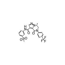 C[C@H]1CN(c2ccc(C(F)(F)F)cc2)C(=O)c2c(C(=O)Nc3cccc(S(C)(=O)=O)c3)cnn21